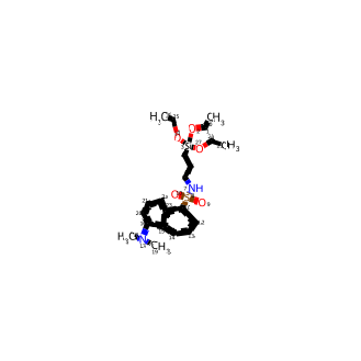 CCO[Si](CCCNS(=O)(=O)c1cccc2c(N(C)C)cccc12)(OCC)OCC